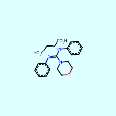 O=C(O)C=CC(=O)O.c1ccc(N=C(Nc2ccccc2)N2CCOCC2)cc1